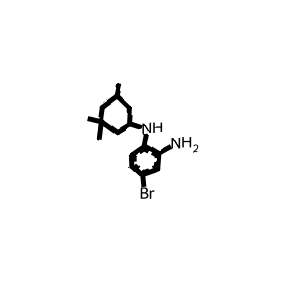 CC1CC(Nc2ccc(Br)cc2N)CC(C)(C)C1